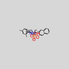 Cc1ccc(NOP(=O)(O)Oc2cc3ccccc3cc2C(=O)O)c(C)c1